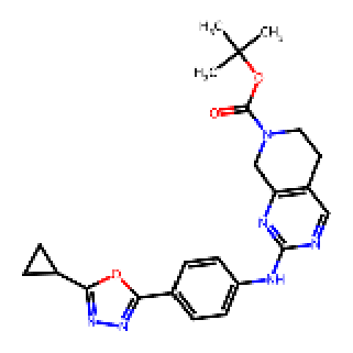 CC(C)(C)OC(=O)N1CCc2cnc(Nc3ccc(-c4nnc(C5CC5)o4)cc3)nc2C1